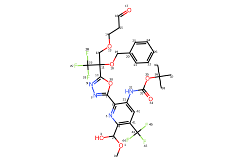 COC(O)c1nc(-c2nnc(C(COCCC=O)(OCc3ccccc3)C(F)(F)F)o2)c(NC(=O)OC(C)(C)C)cc1C(F)(F)F